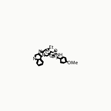 CCOCc1nc2cnc3ccccc3c2n1CC(C)(C)CS(=O)(=O)NCc1ccc(OC)cc1